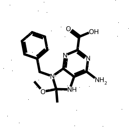 COC1(C)Nc2c(N)nc(C(=O)O)nc2N1Cc1ccccc1